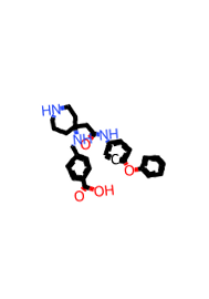 O=C(CC1(NCc2ccc(C(=O)O)cc2)CCCNCC1)Nc1ccc(Oc2ccccc2)cc1